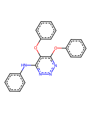 c1ccc(Nc2nnnc(Oc3ccccc3)c2Oc2ccccc2)cc1